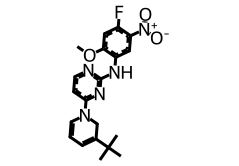 COc1cc(F)c([N+](=O)[O-])cc1Nc1nccc(N2C=CC=C(C(C)(C)C)C2)n1